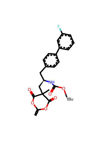 C=C1OC(=O)C(C)(C[C@@H](Cc2ccc(-c3cccc(F)c3)cc2)NC(=O)OC(C)(C)C)C(=O)O1